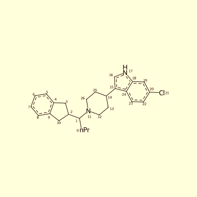 CCCC(C1Cc2ccccc2C1)N1CCC(c2c[nH]c3cc(Cl)ccc23)CC1